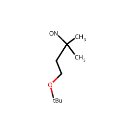 CC(C)(CCOC(C)(C)C)N=O